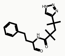 CC(C)(CC(C)(C)c1c[nH]nn1)C(=O)NC(C=O)CCc1ccccc1